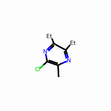 CCc1nc(C)c(Cl)nc1CC